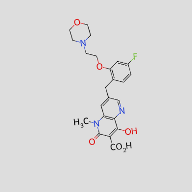 Cn1c(=O)c(C(=O)O)c(O)c2ncc(Cc3ccc(F)cc3OCCN3CCOCC3)cc21